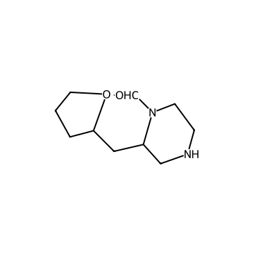 O=[C]N1CCNCC1CC1CCCO1